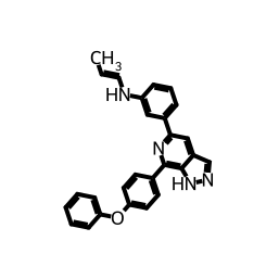 CC=CNc1cccc(-c2cc3cn[nH]c3c(-c3ccc(Oc4ccccc4)cc3)n2)c1